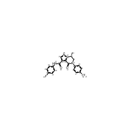 C[C@H]1CN(c2ccc(C(F)(F)F)cc2)C(=O)c2c(C(=O)Nc3ccc(F)cc3)cnn21